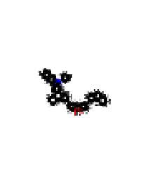 c1ccc(-n2c3cc4ccccc4cc3c3cc4c5ccccc5c5cc(-c6ccc7oc8ccc(-c9ccc%10ccc%11ccccc%11c%10c9)cc8c7c6)ccc5c4cc32)cc1